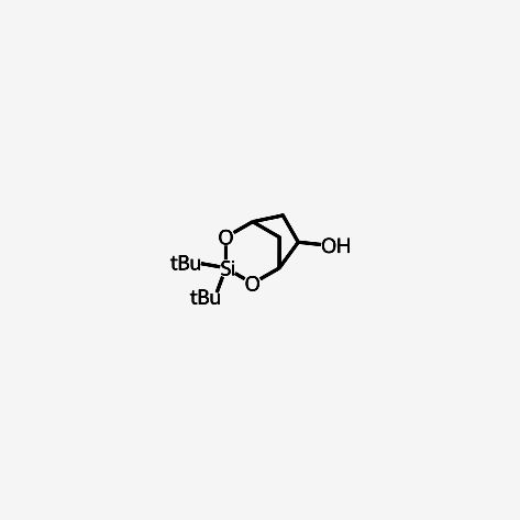 CC(C)(C)[Si]1(C(C)(C)C)OC2CC(O)C(C2)O1